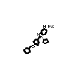 CC(=O)Nc1ccc2c(c1)nc(-c1ccc(OCc3ccccc3)cc1)n2C1CCCC1